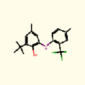 Cc1cc(Pc2ccc(C)cc2C(F)(F)F)c(O)c(C(C)(C)C)c1